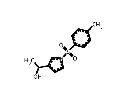 Cc1ccc(S(=O)(=O)n2ccc(C(C)O)c2)cc1